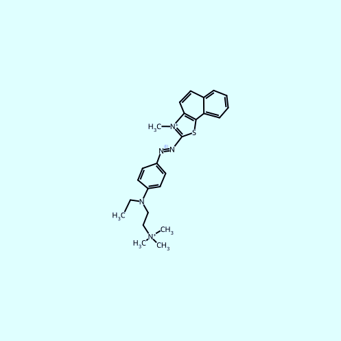 CCN(CC[N+](C)(C)C)c1ccc(/N=N/c2sc3c4ccccc4ccc3[n+]2C)cc1